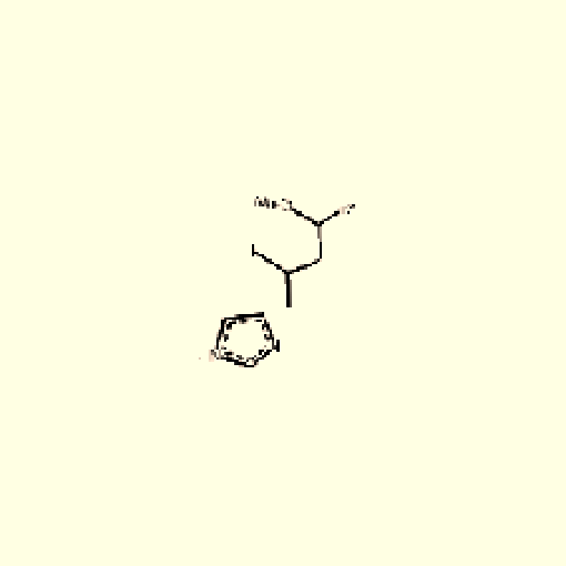 CCCC(CC(C)I)OC.c1c[nH]cn1